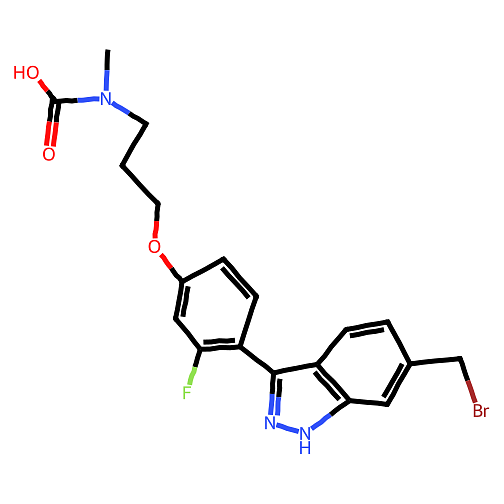 CN(CCCOc1ccc(-c2n[nH]c3cc(CBr)ccc23)c(F)c1)C(=O)O